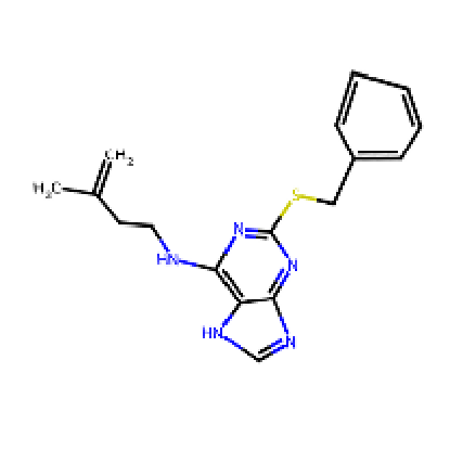 C=C(C)CCNc1nc(SCc2ccccc2)nc2nc[nH]c12